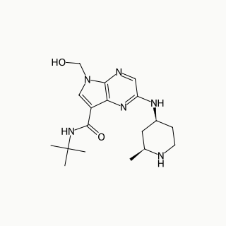 C[C@H]1C[C@@H](Nc2cnc3c(n2)c(C(=O)NC(C)(C)C)cn3CO)CCN1